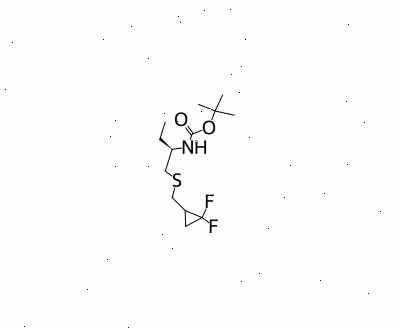 CC[C@H](CSCC1CC1(F)F)NC(=O)OC(C)(C)C